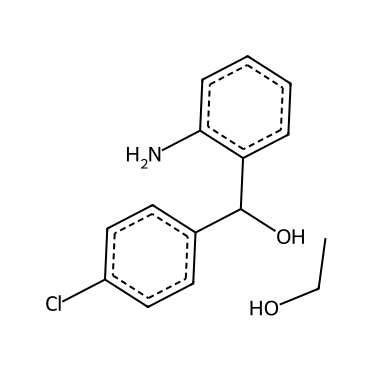 CCO.Nc1ccccc1C(O)c1ccc(Cl)cc1